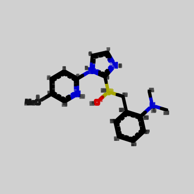 COc1ccc(-n2ccnc2[S+]([O-])Cc2ccccc2N(C)C)nc1